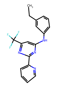 CCc1cccc(Nc2cc(C(F)(F)F)nc(-c3ccccn3)n2)c1